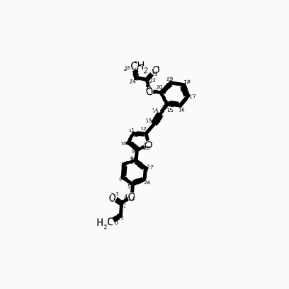 C=CC(=O)Oc1ccc(-c2ccc(C#Cc3ccccc3OC(=O)C=C)o2)cc1